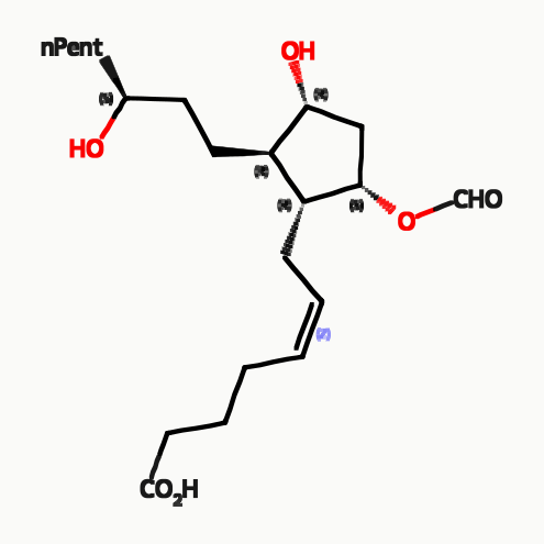 CCCCC[C@H](O)CC[C@@H]1[C@@H](C/C=C\CCCC(=O)O)[C@@H](OC=O)C[C@H]1O